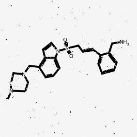 CN1CCN(Cc2cccc3c2ccn3S(=O)(=O)CC=Cc2ccccc2CN)CC1